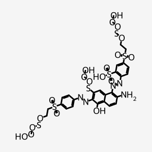 Nc1ccc2c(O)c(/N=N/c3ccc(S(=O)(=O)CCOSOOO)cc3)c(SOOO)cc2c1/N=N/c1ccc(S(=O)(=O)CCOSOOO)cc1S(=O)(=O)O